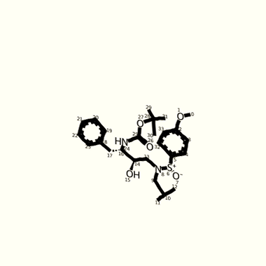 COc1ccc([S+]([O-])N(CC(C)C)C[C@@H](O)[C@H](Cc2ccccc2)NC(=O)OC(C)(C)C)cc1